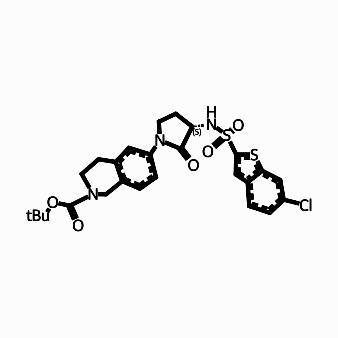 CC(C)(C)OC(=O)N1CCc2cc(N3CC[C@H](NS(=O)(=O)c4cc5ccc(Cl)cc5s4)C3=O)ccc2C1